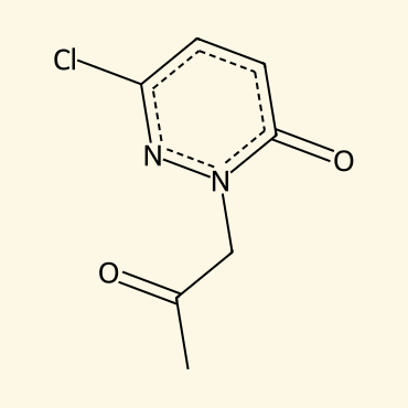 CC(=O)Cn1nc(Cl)ccc1=O